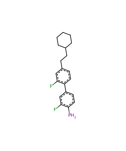 Fc1cc(-c2ccc(CCC3CCCCC3)cc2F)ccc1P